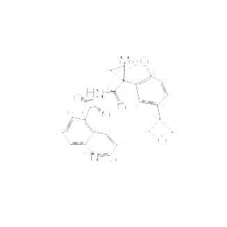 COc1ccc(C2COC2)cc1C1(C(=O)NS(=O)(=O)c2cccc3ncccc23)CC1